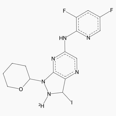 [2H]N1C(I)c2ncc(Nc3ncc(F)cc3F)nc2N1C1CCCCO1